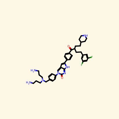 NCCCN(CCCN)Cc1ccc(-n2cc3cc(-c4ccc(C(=O)C(CCc5cc(F)cc(F)c5)CCC5CCNCC5)cc4)[nH]c3nc2=O)cc1